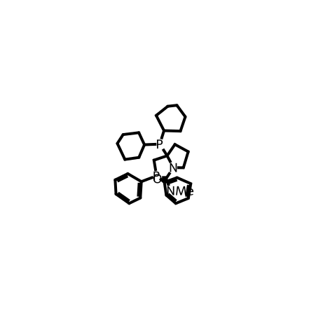 CNC(=O)N1CCCC1(CP(c1ccccc1)c1ccccc1)P(C1CCCCC1)C1CCCCC1